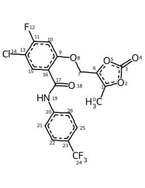 Cc1oc(=O)oc1COc1cc(F)c(Cl)cc1C(=O)Nc1ccc(C(F)(F)F)cc1